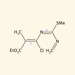 C=N/C(=N\C(Cl)=C(/C)C(=O)OCC)SC